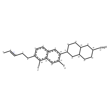 C/C=C/CCc1ccc2cc(C3CCC4CC(CCCCCCC)CCC4C3)c(F)cc2c1F